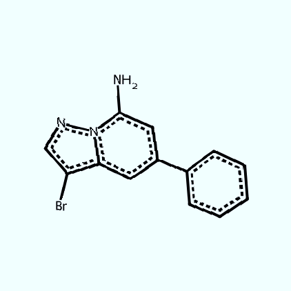 Nc1cc(-c2ccccc2)cc2c(Br)cnn12